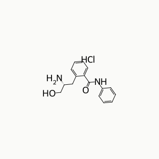 Cl.N[C@@H](CO)Cc1ccccc1C(=O)Nc1ccccc1